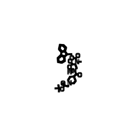 CN(C(=O)OCC1c2ccccc2-c2ccccc21)C(CNC(=O)C1CCN(CC(=O)OC(C)(C)C)CC1)C(=O)O